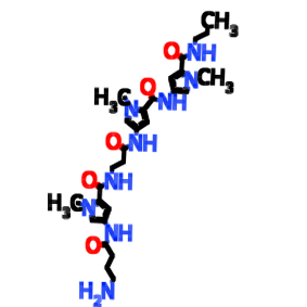 CCCNC(=O)c1cc(NC(=O)c2cc(NC(=O)CCNC(=O)c3cc(NC(=O)CCCN)cn3C)cn2C)cn1C